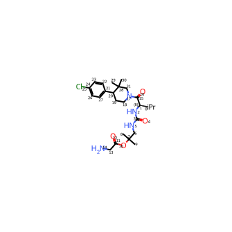 CC(C)[C@@H](NC(=O)NCC(C)(C)OC(=O)CN)C(=O)N1CCC(c2ccc(Cl)cc2)C(C)(C)C1